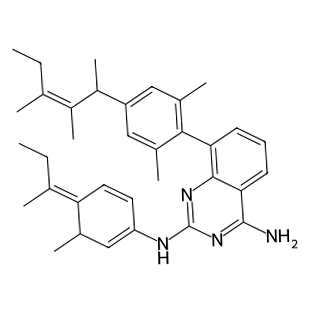 CC/C(C)=C1\C=CC(Nc2nc(N)c3cccc(-c4c(C)cc(C(C)/C(C)=C(/C)CC)cc4C)c3n2)=CC1C